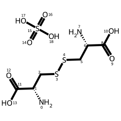 N[C@@H](CSSC[C@H](N)C(=O)O)C(=O)O.O=S(=O)(O)O